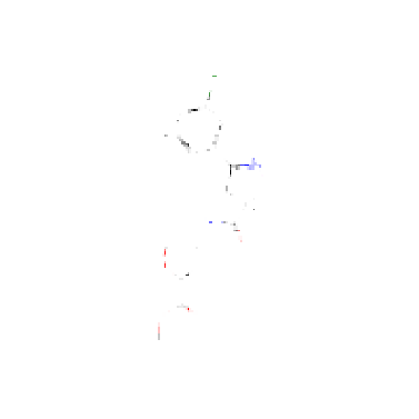 COC(=O)[C@H]1C[C@@H](NC(=O)[C@@]2(C)CC(c3cc(F)cc(F)c3)=NO2)CO1